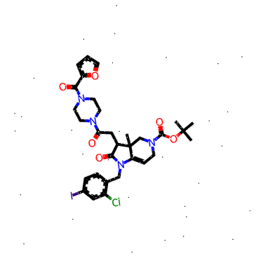 CC(C)(C)OC(=O)N1CC=C2N(Cc3ccc(I)cc3Cl)C(=O)C(CC(=O)N3CCN(C(=O)c4ccco4)CC3)C2(C)C1